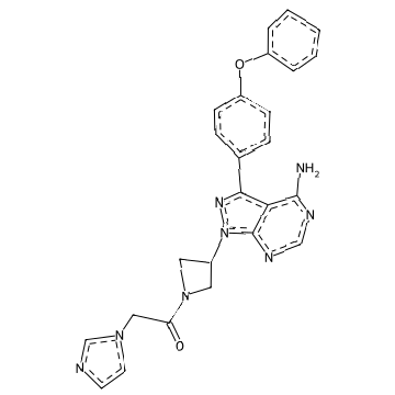 Nc1ncnc2c1c(-c1ccc(Oc3ccccc3)cc1)nn2C1CN(C(=O)Cn2ccnc2)C1